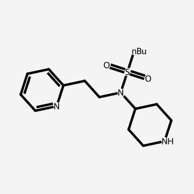 CCCCS(=O)(=O)N(CCc1ccccn1)C1CCNCC1